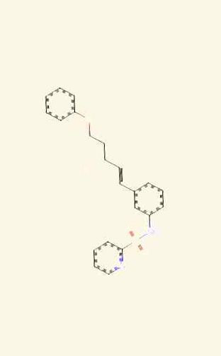 O=S(=O)(Nc1cccc(/C=C/[C@H](O)CCOc2[c]cccc2)c1)c1ccccn1